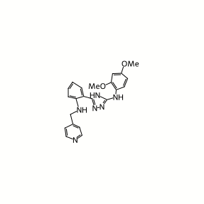 COc1ccc(Nc2nnc(-c3ccccc3NCc3ccncc3)[nH]2)c(OC)c1